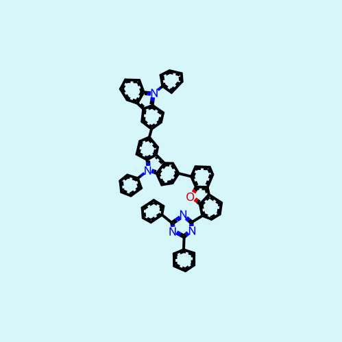 c1ccc(-c2nc(-c3ccccc3)nc(-c3cccc4c3oc3c(-c5ccc6c(c5)c5cc(-c7ccc8c(c7)c7ccccc7n8-c7ccccc7)ccc5n6-c5ccccc5)cccc34)n2)cc1